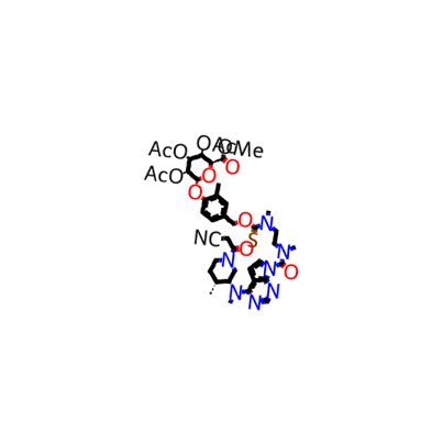 COC(=O)[C@H]1O[C@@H](Oc2ccc(COC(=S)N(C)CCN(C)C(=O)n3ccc4c(N(C)[C@H]5CN(C(=O)CC#N)CC[C@H]5C)ncnc43)cc2C)[C@H](OC(C)=O)[C@@H](OC(C)=O)[C@@H]1OC(C)=O